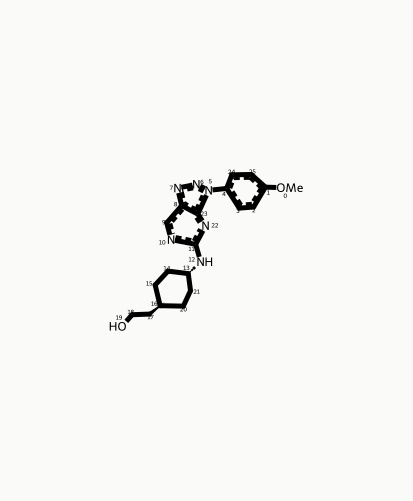 COc1ccc(-n2nnc3cnc(N[C@H]4CC[C@H](CCO)CC4)nc32)cc1